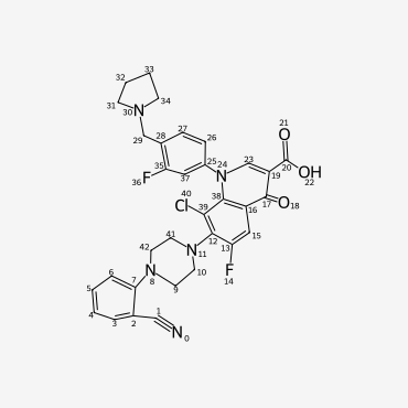 N#Cc1ccccc1N1CCN(c2c(F)cc3c(=O)c(C(=O)O)cn(-c4ccc(CN5CCCC5)c(F)c4)c3c2Cl)CC1